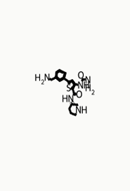 NCc1cccc(-c2cc(NC(N)=O)c(C(=O)N[C@H]3CCCNC3)s2)c1